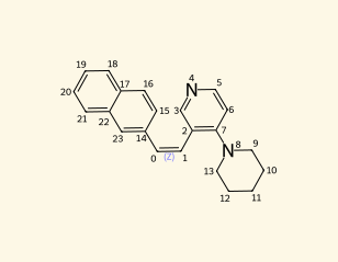 C(=C/c1cnccc1N1CCCCC1)/c1ccc2ccccc2c1